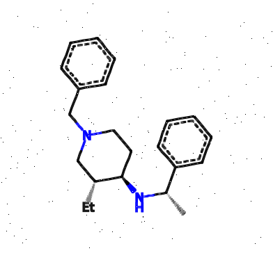 CC[C@@H]1CN(Cc2ccccc2)CC[C@H]1N[C@@H](C)c1ccccc1